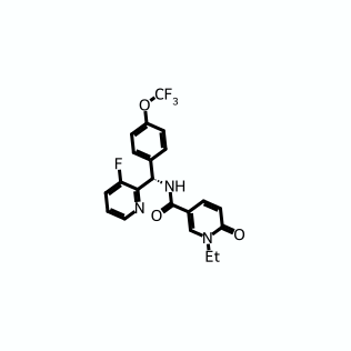 CCn1cc(C(=O)N[C@@H](c2ccc(OC(F)(F)F)cc2)c2ncccc2F)ccc1=O